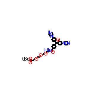 CN1CCN(c2ccc3c(-c4ccc(C(=O)NCCOCCOCCOCCC(=O)OC(C)(C)C)cc4)c4ccc(=[N+]5CCN(C)CC5)cc-4oc3c2)CC1